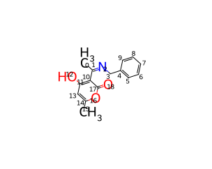 CC(=NCc1ccccc1)c1c(O)cc(C)oc1=O